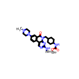 CCCCNc1ncc2c3ccc(N4CCN(C)CC4)cc3c(=O)n(CC3CCC(NC(=O)OC(C)(C)C)CC3)c2n1